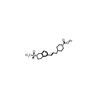 CC(C)OC(=O)N1CCC(C/C=C/c2ccc3c(c2)CCN(S(C)(=O)=O)C3)CC1